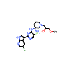 CC(C)OCC(O)CN1CCC[C@](N)(Nc2nc(-c3c[nH]c4ncc(Cl)cc34)ncc2F)C1